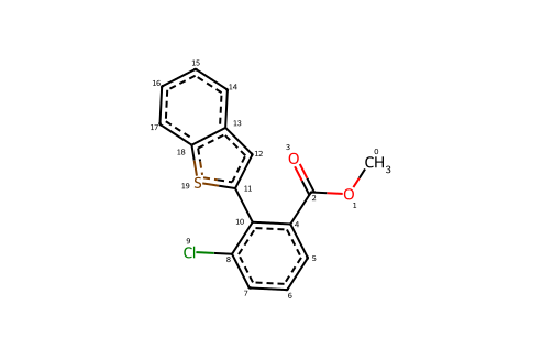 COC(=O)c1cccc(Cl)c1-c1cc2ccccc2s1